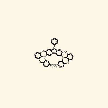 Cc1ccc2c(c1)B1c3cc4c5cc6c(cc5n(-c5ccccc5)c4cc3Oc3cccc(c31)O2)Oc1cccc2c1B6c1cc(C)ccc1O2